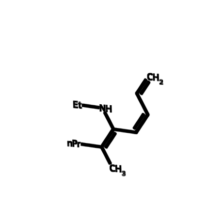 C=C/C=C\C(NCC)=C(/C)CCC